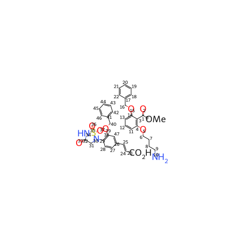 COC(=O)c1c(OCCCCN)cccc1OCc1ccccc1.O=C(O)/C=C/c1ccc(N2CC(=O)NS2(=O)=O)c(OCc2ccccc2)c1